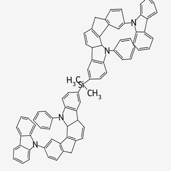 C[Si](C)(c1ccc2c(c1)C1C=CC3=C(c4cc(-n5c6ccccc6c6ccccc65)ccc4C3)C1N2c1ccccc1)c1ccc2c(c1)C1C=CC3=C(c4cc(-n5c6ccccc6c6ccccc65)ccc4C3)C1N2c1ccccc1